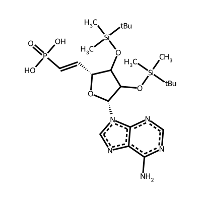 CC(C)(C)[Si](C)(C)OC1C(O[Si](C)(C)C(C)(C)C)[C@@H](/C=C/P(=O)(O)O)O[C@H]1n1cnc2c(N)ncnc21